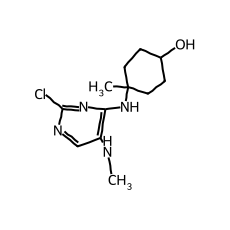 CNc1cnc(Cl)nc1NC1(C)CCC(O)CC1